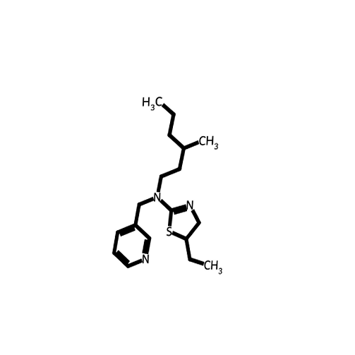 CCCC(C)CCN(Cc1cccnc1)C1=NCC(CC)S1